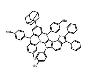 CC(C)(C)c1ccc(N2c3ccc(C(C)(C)C)cc3N3c4c2cc(C25CC6CC(CC(C6)C2)C5)cc4N(c2ccc(C(C)(C)C)cc2)c2c3n(-c3ccc(C(C)(C)C)cc3)c3ccc4c(-c5ccccc5)c(-c5ccccc5)sc4c23)cc1